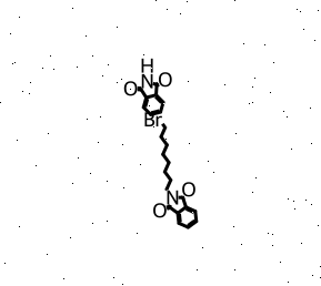 O=C1NC(=O)c2ccccc21.O=C1c2ccccc2C(=O)N1CCCCCCCCBr